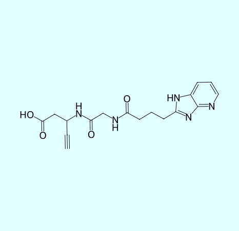 C#CC(CC(=O)O)NC(=O)CNC(=O)CCCc1nc2ncccc2[nH]1